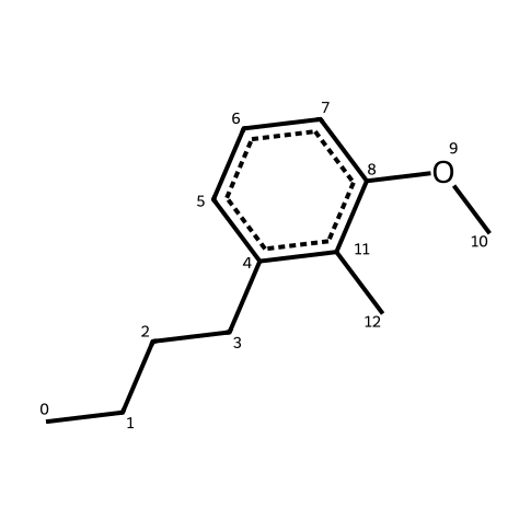 CCCCc1cccc(OC)c1C